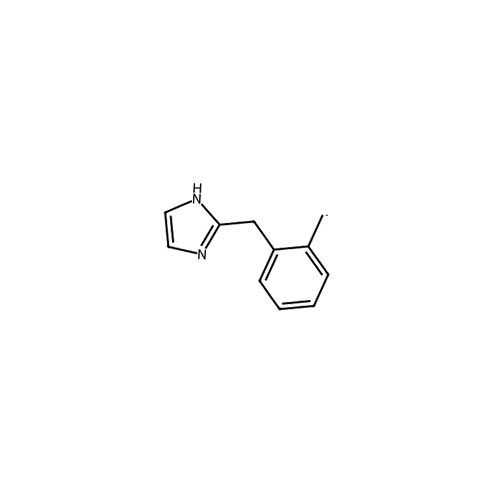 [CH2]c1ccccc1Cc1ncc[nH]1